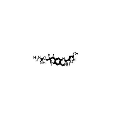 COc1cc(C2=Nc3cc([C@H](C)C(F)(F)COC(=N)N)c(F)cc3CN2)on1